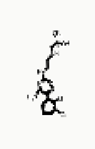 Nc1nc(NCCNC[C@@H](O)C(F)(F)F)nnc1-c1cccc(Cl)c1Cl